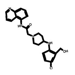 O=C(CN1CCC(Nc2ccc(Cl)cc2CO)CC1)Nc1cccc2ncccc12